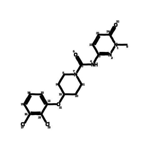 Cn1nc(NC(=O)N2CCC(Oc3cccc(Cl)c3Cl)CC2)ccc1=O